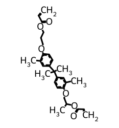 C=CC(=O)OCCCOc1ccc(C(C)(C)c2ccc(OCC(C)OC(=O)C=C)c(C)c2)cc1C